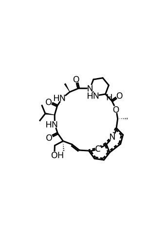 CC(C)[C@@H]1NC(=O)[C@](C)(CO)/C=C/c2ccc3ccc(nc3c2)[C@@H](C)OC(=O)[C@@H]2CCCN(N2)C(=O)[C@H](C)NC1=O